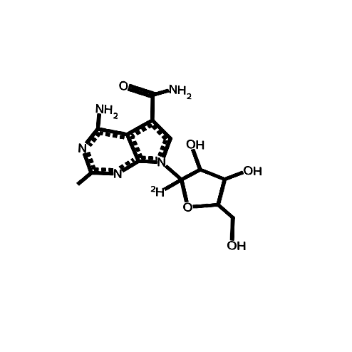 [2H]C1(n2cc(C(N)=O)c3c(N)nc(C)nc32)OC(CO)C(O)C1O